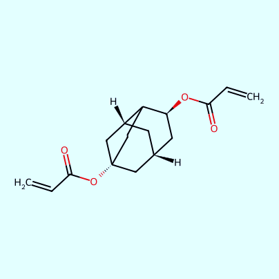 C=CC(=O)O[C@H]1C[C@H]2C[C@@H]3C[C@@](OC(=O)C=C)(CCC31)C2